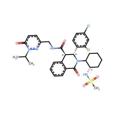 CC(C)n1nc(CNC(=O)[C@@H]2c3ccccc3C(=O)N(C3CCCC[C@@H]3NS(C)(=O)=O)[C@H]2c2ccc(Cl)cc2Cl)ccc1=O